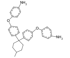 CC1CCC(c2ccc(Oc3ccc(N)cc3)cc2)(c2ccc(Oc3ccc(N)cc3)cc2)CC1